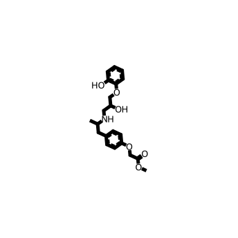 COC(=O)COc1ccc(CC(C)NCC(O)COc2ccccc2O)cc1